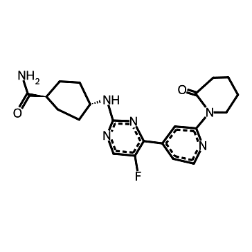 NC(=O)[C@H]1CC[C@H](Nc2ncc(F)c(-c3ccnc(N4CCCCC4=O)c3)n2)CC1